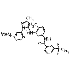 CNc1cc(-n2nc(C)cc2Nc2cc(NC(=O)c3cccc(C(C)(F)F)c3)ccc2C)ncn1